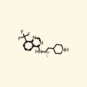 C[C@@H](CC1CCNCC1)Nc1ncnc2c(C(F)(F)F)cccc12